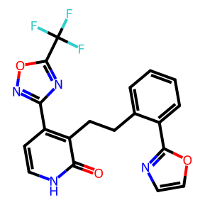 O=c1[nH]ccc(-c2noc(C(F)(F)F)n2)c1CCc1ccccc1-c1ncco1